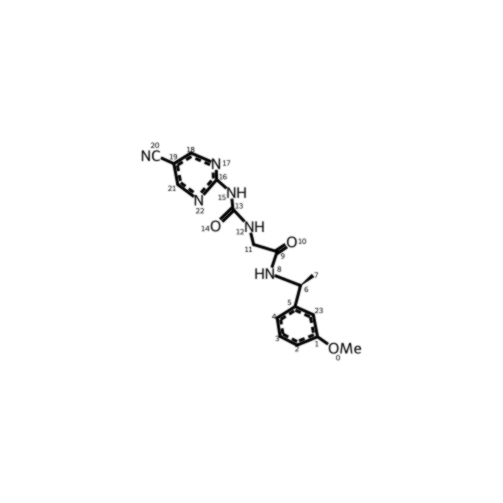 COc1cccc([C@H](C)NC(=O)CNC(=O)Nc2ncc(C#N)cn2)c1